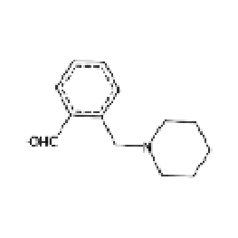 O=[C]c1ccccc1CN1CCCCC1